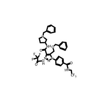 O=C(NCC(F)(F)F)c1ccc(-n2nnc(C(=O)NC3CCN(Cc4ccccc4)C3)c2COCc2ccccc2)cc1.O=C(O)C(F)(F)F